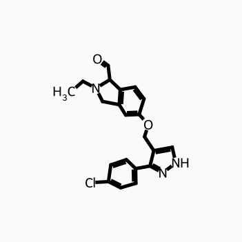 CCN1Cc2cc(OCc3c[nH]nc3-c3ccc(Cl)cc3)ccc2C1C=O